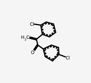 C=C(C(=O)c1ccc(Cl)cc1)c1ccccc1Cl